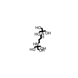 OCC(CO)(CO)NCCCCNC(CO)(CO)CO